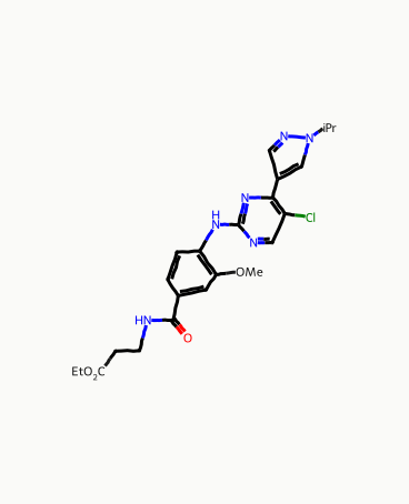 CCOC(=O)CCNC(=O)c1ccc(Nc2ncc(Cl)c(-c3cnn(C(C)C)c3)n2)c(OC)c1